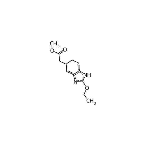 CCOc1nc2c([nH]1)=CCC(CC(=O)OC)C=2